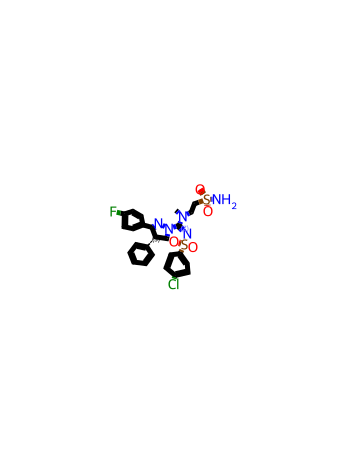 CN(CCS(N)(=O)=O)/C(=N/S(=O)(=O)c1ccc(Cl)cc1)N1C[C@H](c2ccccc2)C(c2ccc(F)cc2)=N1